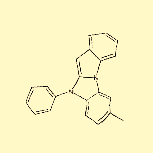 Cc1ccc2c(c1)n1c3ccccc3cc1n2-c1ccccc1